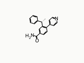 C[C@@H](c1ccccc1)c1cc(C(N)=O)ccc1-c1ccncc1